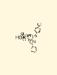 Clc1ccc(SC2CCCN3CC(c4ccccc4)N=C23)cc1.O=S(=O)(O)O